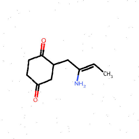 CC=C(N)CC1CC(=O)CCC1=O